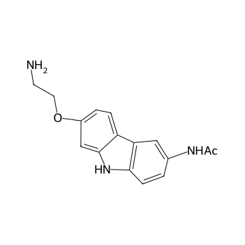 CC(=O)Nc1ccc2[nH]c3cc(OCCN)ccc3c2c1